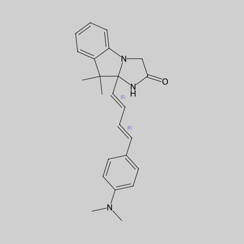 CN(C)c1ccc(/C=C/C=C/C23NC(=O)CN2c2ccccc2C3(C)C)cc1